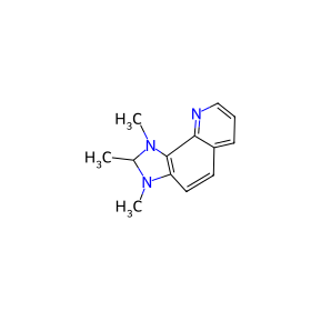 CC1N(C)c2ccc3cccnc3c2N1C